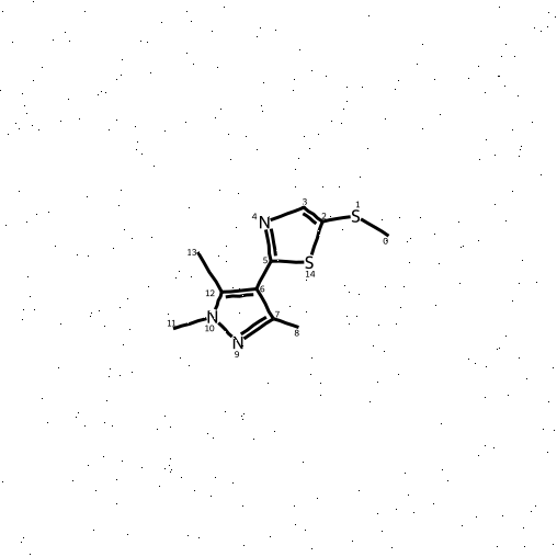 CSc1cnc(-c2c(C)nn(C)c2C)s1